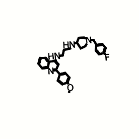 COc1ccc(-c2cc(NCCCNC3CCN(Cc4ccc(F)cc4)CC3)c3ccccc3n2)cc1